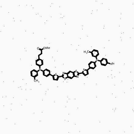 CCCc1ccc(N(c2ccc(-c3ccc(-c4nc5cc6sc(-c7ccc(-c8ccc(N(c9ccc(CCC(=O)OC)cc9)c9cccc(C)c9)cc8)s7)nc6cc5s4)s3)cc2)c2cccc(C)c2)cc1